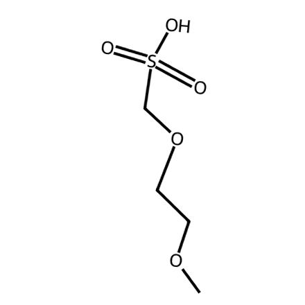 COCCOCS(=O)(=O)O